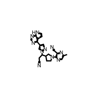 Cc1cnc(N2CCC(C(CC#N)n3cc(-c4ncnc5[nH]ccc45)cn3)C2)c(C#N)n1